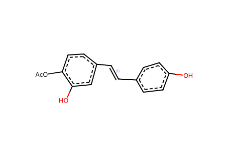 CC(=O)Oc1ccc(/C=C/c2ccc(O)cc2)cc1O